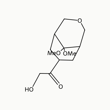 COC1(OC)C2COCC1CC(C(=O)CO)C2